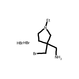 Br.Br.CCN1CCC(CN)(CBr)C1